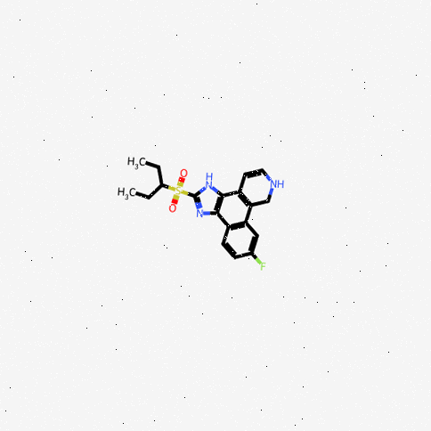 CCC(CC)S(=O)(=O)c1nc2c([nH]1)c1c(c3cc(F)ccc32)CNC=C1